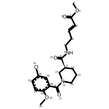 COC(=O)/C=C/CCNC(=O)[C@H]1CCCN(C(=O)c2cc(Cl)ccc2OC)C1